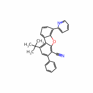 CC(C)(C)c1cc(-c2ccccc2)c(C#N)c2oc3c(-c4ccccn4)cccc3c12